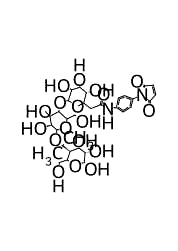 CC(C)(O[C@@H]1OC(CO)[C@@H](O[C@@H]2OC(CC(=O)Nc3ccc(N4C(=O)C=CC4=O)cc3)[C@@H](O)C(O)[C@@H]2O)C(O)[C@@H]1O)[C@@H]1C(CO)OC(O)[C@@H](O)C1O